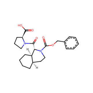 O=C(O)[C@@H]1CCCN1C(=O)[C@H]1[C@@H]2CCCC[C@@H]2CCN1C(=O)OCc1ccccc1